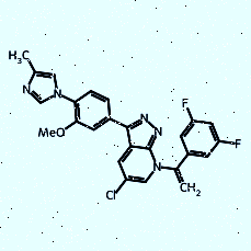 C=C(c1cc(F)cc(F)c1)n1cc(Cl)cc2c(-c3ccc(-n4cnc(C)c4)c(OC)c3)nnc1-2